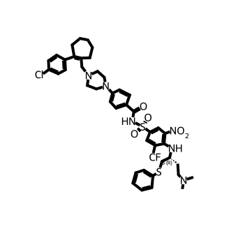 CN(C)CC[C@H](CSc1ccccc1)Nc1c([N+](=O)[O-])cc(S(=O)(=O)NC(=O)c2ccc(N3CCN(CC4=C(c5ccc(Cl)cc5)CCCCC4)CC3)cc2)cc1C(F)(F)F